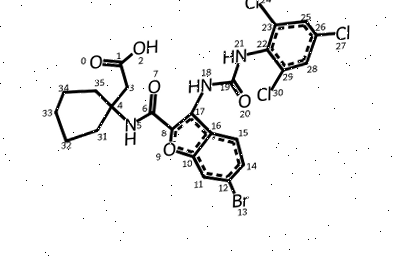 O=C(O)CC1(NC(=O)c2oc3cc(Br)ccc3c2NC(=O)Nc2c(Cl)cc(Cl)cc2Cl)CCCCC1